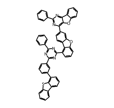 c1ccc(-c2nc(-c3cccc(-c4cccc5c4sc4ccccc45)c3)nc(-c3cccc4oc5cc(-c6nc(-c7ccccc7)nc7c6oc6ccccc67)ccc5c34)n2)cc1